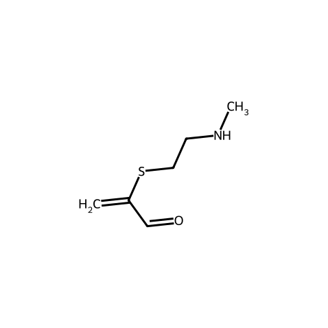 C=C(C=O)SCCNC